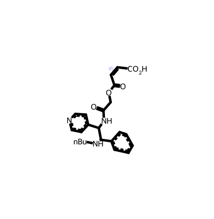 CCCCNC(c1ccccc1)C(NC(=O)COC(=O)/C=C\C(=O)O)c1ccncc1